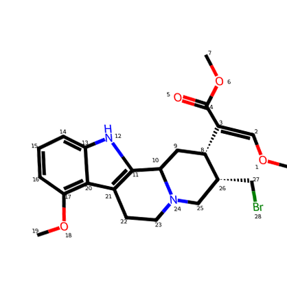 CO/C=C(/C(=O)OC)[C@H]1CC2c3[nH]c4cccc(OC)c4c3CCN2C[C@H]1CBr